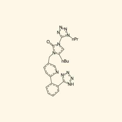 CCCCc1cn(-c2nnnn2CCC)c(=O)n1Cc1ccc(-c2ccccc2-c2nnn[nH]2)nc1